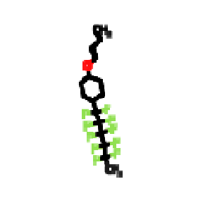 C=CC=COC1CCC(C(F)(F)C(F)(F)C(F)(F)C(F)(F)C(F)(F)C(F)(F)F)CC1